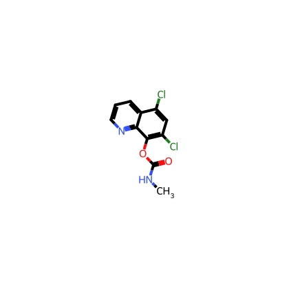 CNC(=O)Oc1c(Cl)cc(Cl)c2cccnc12